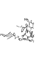 CCOC(=O)N(Cc1cccc(O)c1)c1nc(OCCOCCO)nc(N)c1[N+](=O)[O-]